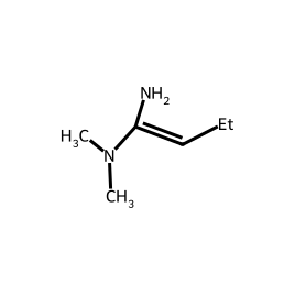 CC/C=C(\N)N(C)C